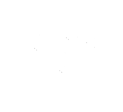 Cc1cc2c([C@@H](C)N)cnc(OC3(C)CC3)c2cn1